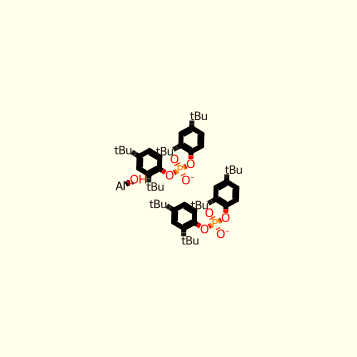 CC(C)(C)c1ccc(OP(=O)([O-])Oc2ccc(C(C)(C)C)cc2C(C)(C)C)c(C(C)(C)C)c1.CC(C)(C)c1ccc(OP(=O)([O-])Oc2ccc(C(C)(C)C)cc2C(C)(C)C)c(C(C)(C)C)c1.[OH][Al+2]